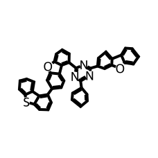 c1ccc(-c2nc(-c3ccc4c(c3)oc3ccccc34)nc(-c3cccc4oc5cc(-c6cccc7sc8ccccc8c67)ccc5c34)n2)cc1